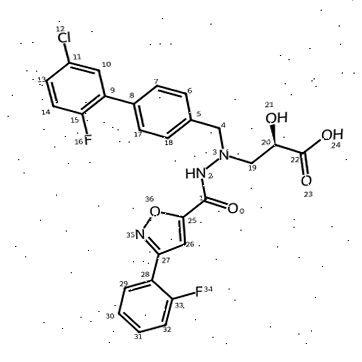 O=C(NN(Cc1ccc(-c2cc(Cl)ccc2F)cc1)C[C@@H](O)C(=O)O)c1cc(-c2ccccc2F)no1